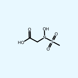 CS(=O)(=O)N(O)CC(=O)O